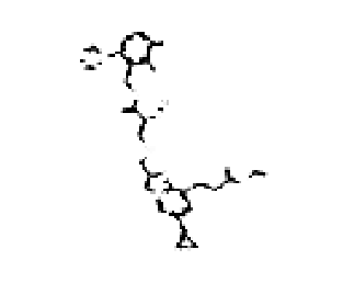 CCOC(=O)CCc1cc(C2CC2)cn2cc(CN/C=C(\N=N)C(=O)NCc3c(-n4cnnn4)ccc(Cl)c3F)nc12